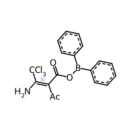 CC(=O)/C(C(=O)OB(c1ccccc1)c1ccccc1)=C(\N)C(Cl)(Cl)Cl